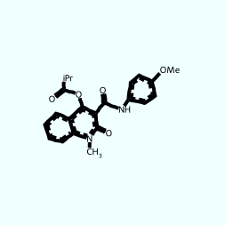 COc1ccc(NC(=O)c2c(OC(=O)C(C)C)c3ccccc3n(C)c2=O)cc1